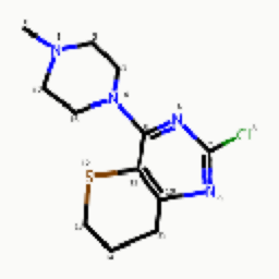 CN1CCN(c2nc(Cl)nc3c2SCCC3)CC1